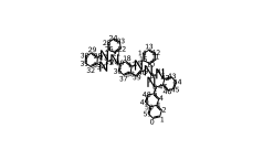 c1ccc2cc(-c3nc(-n4c5ccccc5n5c6cc(-n7c8ccccc8n8c9ccccc9nc78)ccc6cc45)nc4ccccc34)ccc2c1